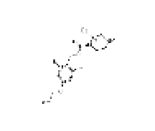 C=CCOc1cc(F)c(COC(=O)N2CCNC[C@H]2CC)c(F)c1